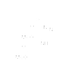 COC(=O)CCNc1cnn(C2CCCCO2)c1C(=O)OC